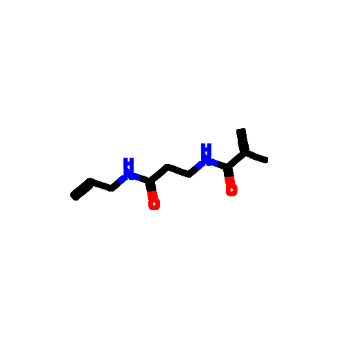 C=CCNC(=O)CCNC(=O)C(=C)C